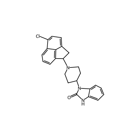 O=c1[nH]c2ccccc2n1C1CCN(C2Cc3ccc(Cl)c4cccc2c34)CC1